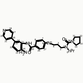 CCCN(CCCNc1ccc(C(=O)Nc2cc(-c3ccncc3)ccc2N)cc1)C(=O)N1CCCC1